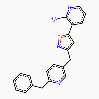 Nc1ncccc1-c1cc(Cc2ccc(Cc3ccccc3)nc2)no1